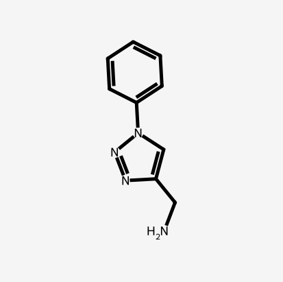 NCc1cn(-c2ccccc2)nn1